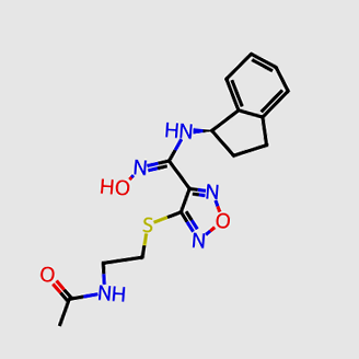 CC(=O)NCCSc1nonc1/C(=N\O)N[C@@H]1CCc2ccccc21